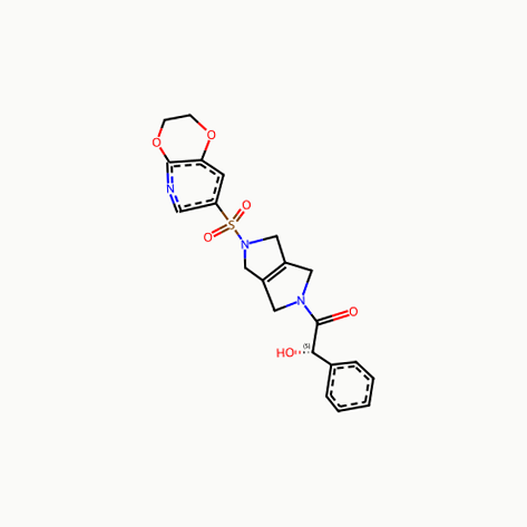 O=C([C@@H](O)c1ccccc1)N1CC2=C(C1)CN(S(=O)(=O)c1cnc3c(c1)OCCO3)C2